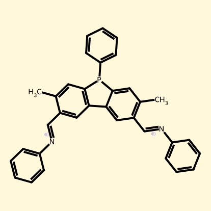 Cc1cc2c(cc1/C=N/c1ccccc1)c1cc(/C=N/c3ccccc3)c(C)cc1p2-c1ccccc1